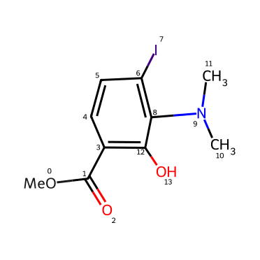 COC(=O)c1ccc(I)c(N(C)C)c1O